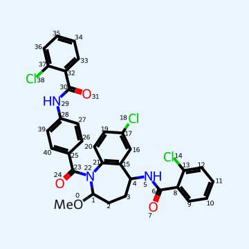 COC1CCC(NC(=O)c2ccccc2Cl)c2cc(Cl)ccc2N1C(=O)c1ccc(NC(=O)c2ccccc2Cl)cc1